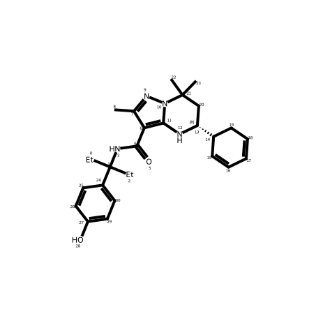 CCC(CC)(NC(=O)c1c(C)nn2c1N[C@@H](C1C=CC=CC1)CC2(C)C)c1ccc(O)cc1